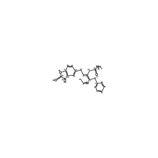 C/C=N\C(Cc1ccccc1)=C(/CCc1ccc2oc(=O)[nH]c2c1)CC(N)=O